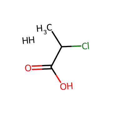 CC(Cl)C(=O)O.[HH]